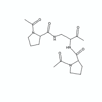 CC(=O)C(CNC(=O)C1CCCN1C(C)=O)NC(=O)C1CCCN1C(C)=O